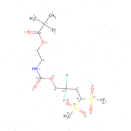 CCC(C)(C)C(=O)OCCNC(=O)OCC(F)(F)CC(S(C)(=O)=O)S(=O)(=O)C(F)(F)F